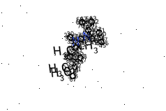 CCC1(C)c2ccccc2-c2ccc(-c3c4ccccc4c(-c4cc(C)c(N(c5ccccc5)c5ccc(-n6c7ccc(-c8ccccc8-c8ccccc8)cc7c7cc(-c8ccccc8-c8ccccc8)ccc76)cc5)cc4C)c4ccccc34)cc21